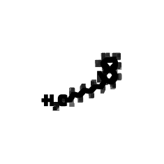 [CH2]CCCCCCCc1ccc2ccccc2n1